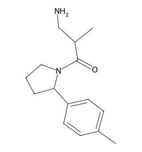 Cc1ccc(C2CCCN2C(=O)C(C)CN)cc1